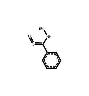 CC(C)(C)NC(=S=O)c1ccccc1